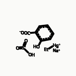 C[CH2][Hg+].O=C([O-])c1ccccc1O.O=[S-](=O)O.[Na+]